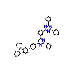 C1=CCCC(c2nc(-c3ccccc3)nc(-c3cccc(-c4cc(-c5ccc(-c6ccc7c(c6)C6(CCCCC6)c6ccccc6-7)cc5)nc(-c5ccccc5)n4)c3)n2)=C1